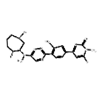 CC[C@@H]1CCC[C@H](F)[C@H](N(C)c2cnc(-c3ccc(-c4cc(F)n(C)c(=O)n4)cc3O)nn2)C1